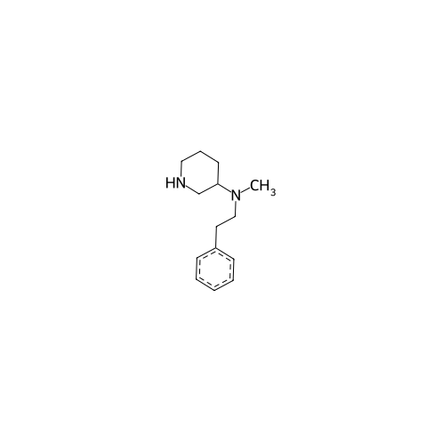 CN(CCc1ccccc1)C1CCCNC1